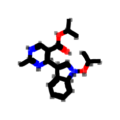 Cc1ncc(C(=O)OC(C)C)c(-c2cn(OC(C)C)c3ccccc23)n1